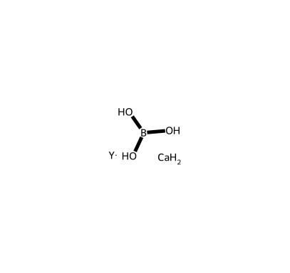 OB(O)O.[CaH2].[Y]